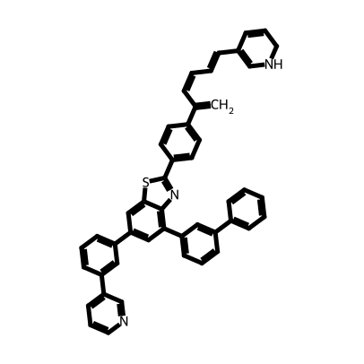 C=C(/C=C\C=C\C1=CNCC=C1)c1ccc(-c2nc3c(-c4cccc(-c5ccccc5)c4)cc(-c4cccc(-c5cccnc5)c4)cc3s2)cc1